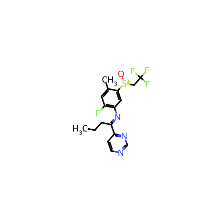 CCC/C(=N\c1cc([S+]([O-])CC(F)(F)F)c(C)cc1F)c1ccncn1